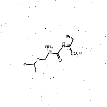 CC(C)C[C@H](NC(=O)[C@@H](N)COC(F)F)C(=O)O